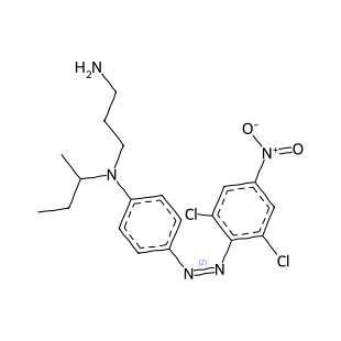 CCC(C)N(CCCN)c1ccc(/N=N\c2c(Cl)cc([N+](=O)[O-])cc2Cl)cc1